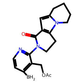 Bc1ccnc(N2CCc3c(cc4n3CCCC4)C2=O)c1COC(C)=O